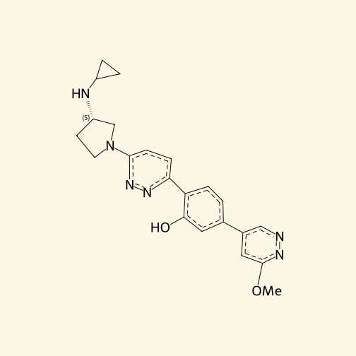 COc1cc(-c2ccc(-c3ccc(N4CC[C@H](NC5CC5)C4)nn3)c(O)c2)cnn1